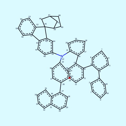 c1ccc(-c2ccccc2-c2ccccc2-c2ccccc2N(c2ccc(-c3cccc4ccccc34)cc2)c2ccc3c(c2)C2(CC4CCC2C4)c2ccccc2-3)cc1